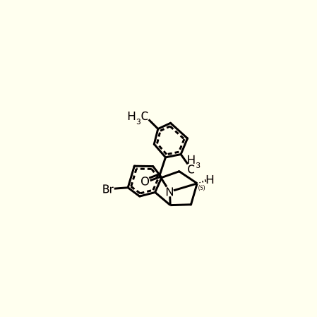 Cc1ccc(C)c(C(=O)N2C3C[C@@H]2Cc2ccc(Br)cc23)c1